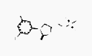 CS(=O)(=O)OC[C@H]1CN(c2cc(F)cc(F)c2)C(=O)O1